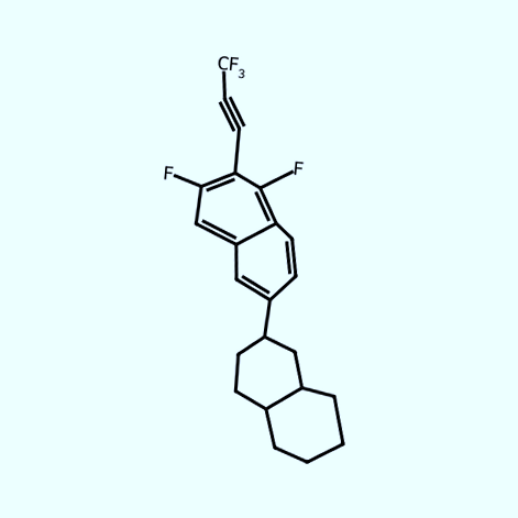 Fc1cc2cc(C3CCC4CCCCC4C3)ccc2c(F)c1C#CC(F)(F)F